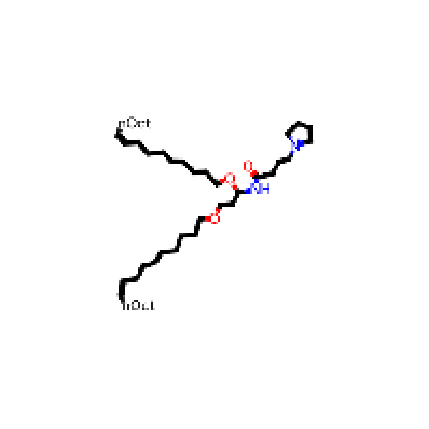 CCCCCCCC/C=C\CCCCCCCCOCCC(NC(=O)CCCN1CCCC1)OCCCCCCCC/C=C\CCCCCCCC